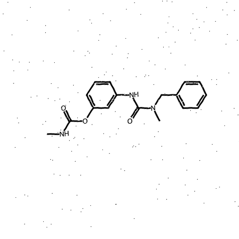 CNC(=O)Oc1cccc(NC(=O)N(C)Cc2ccccc2)c1